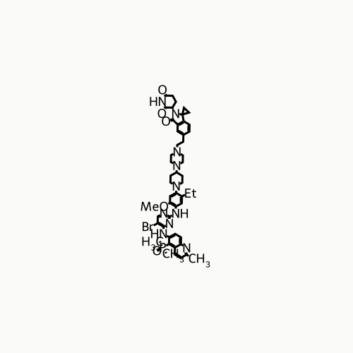 CCc1cc(Nc2ncc(Br)c(Nc3ccc4nc(C)ccc4c3P(C)(C)=O)n2)c(OC)cc1N1CCC(N2CCN(CCc3ccc4c(c3)C(=O)N(C3CCC(=O)NC3=O)C43CC3)CC2)CC1